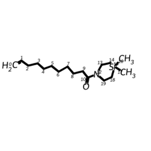 C=CCCCCCCCCC(=O)N1CC[Si](C)(C)CC1